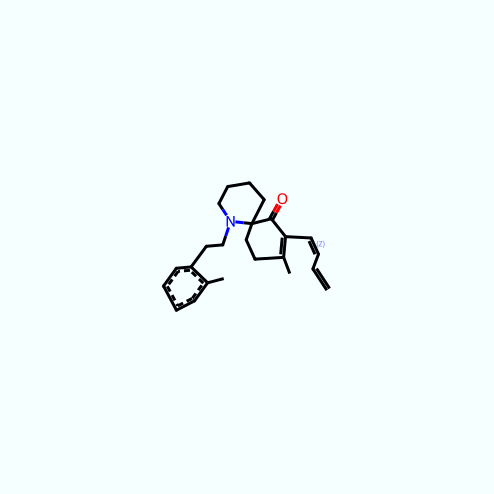 C=C/C=C\C1=C(C)CCC2(CCCCN2CCc2ccccc2C)C1=O